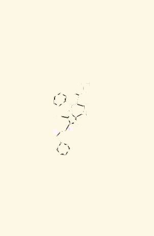 COC(=O)C1=C(C)N=c2s/c(=C/C=C\c3ccccc3)c(=O)n2C1c1ccccc1